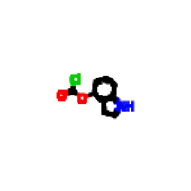 O=C(Cl)Oc1cccc2[nH]ccc12